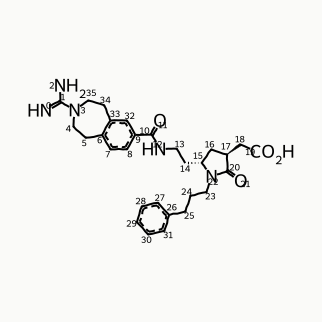 N=C(N)N1CCc2ccc(C(=O)NCC[C@@H]3C[C@@H](CC(=O)O)C(=O)N3CCCc3ccccc3)cc2CC1